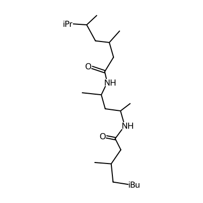 CCC(C)CC(C)CC(=O)NC(C)CC(C)NC(=O)CC(C)CC(C)C(C)C